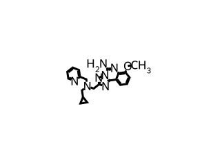 COc1cccc2c1nc(N)n1nc(CN(Cc3ccccn3)CC3CC3)nc21